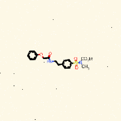 CCOC(=O)N(C)S(=O)(=O)c1ccc(CCNC(=O)COc2ccccc2)cc1